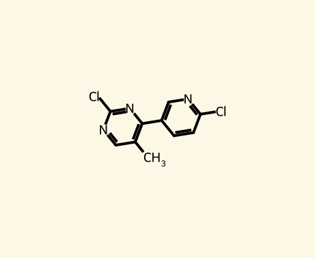 Cc1cnc(Cl)nc1-c1ccc(Cl)nc1